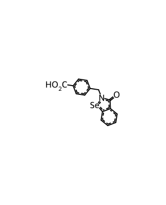 O=C(O)c1ccc(Cn2[se]c3ccccc3c2=O)cc1